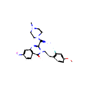 COc1ccc(CCn2c(C(=N)N3CCN(C)CC3)nc3cc(N=O)ccc3c2=O)c(F)c1